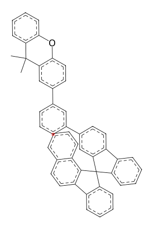 CC1(C)c2ccccc2Oc2ccc(-c3cccc(-c4ccc5c(c4)C4(c6ccccc6-5)c5ccccc5-c5ccc6ccccc6c54)c3)cc21